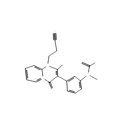 CC(=O)N(C)c1cccc(-c2c(O)n(CCC#N)c3cccc[n+]3c2=O)c1